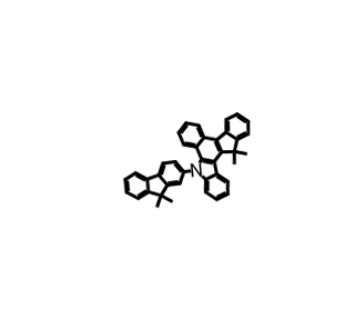 CC1(C)c2ccccc2-c2ccc(-n3c4ccccc4c4c5c(c6ccccc6c43)-c3ccccc3C5(C)C)cc21